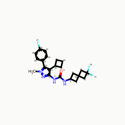 Cn1nc(NC(=O)NC2CC3(C2)CC(F)(F)C3)c(C2CCC2)c1-c1ccc(F)cc1